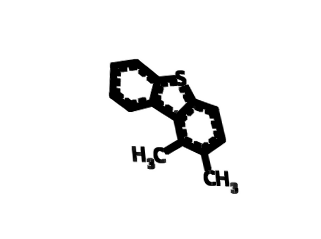 Cc1ccc2sc3ccccc3c2c1C